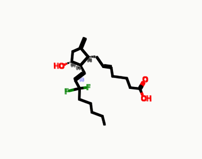 C=C1C[C@@H](O)[C@H](/C=C/C(F)(F)CCCCC)[C@H]1CC=CCCCC(=O)O